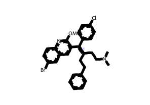 COc1nc2ccc(Br)cc2cc1/C(=C(\CCc1ccccc1)CCN(C)C)c1ccc(Cl)cc1